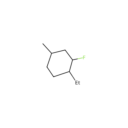 CCC1CCC(C)CC1F